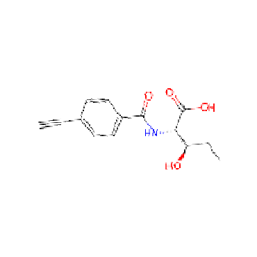 C#Cc1ccc(C(=O)N[C@H](C(=O)O)[C@H](O)CC)cc1